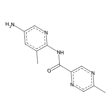 Cc1cnc(C(=O)Nc2ncc(N)cc2C)cn1